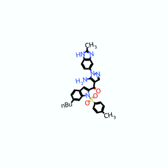 CCCCc1ccc2cc(C(=O)c3cnn(-c4ccc5[nH]c(C)nc5c4)c3N)n(S(=O)(=O)c3ccc(C)cc3)c2c1